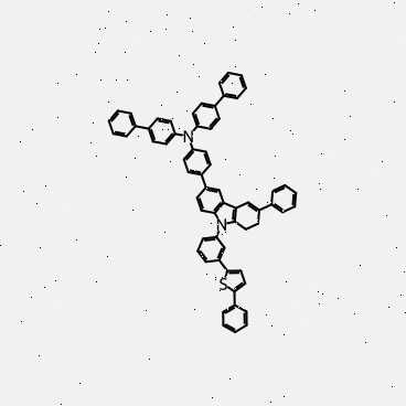 C1=C(c2ccccc2)CCc2c1c1cc(-c3ccc(N(c4ccc(-c5ccccc5)cc4)c4ccc(-c5ccccc5)cc4)cc3)ccc1n2-c1cccc(-c2ccc(-c3ccccc3)s2)c1